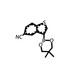 CC1(C)COB(c2csc3ccc(C#N)cc23)OC1